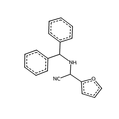 N#CC(NC(c1ccccc1)c1ccccc1)c1ccco1